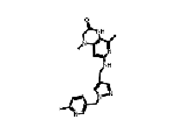 Cc1nc(NCc2cnn(Cc3ccc(F)nc3)c2)cc2c1NC(=O)CN2C